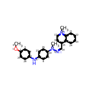 COc1ccc(Nc2ccc(N(C)/N=C\c3cc[n+](C)c4ccccc34)cc2)cc1